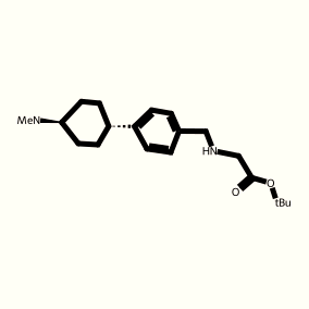 CN[C@H]1CC[C@H](c2ccc(CNCC(=O)OC(C)(C)C)cc2)CC1